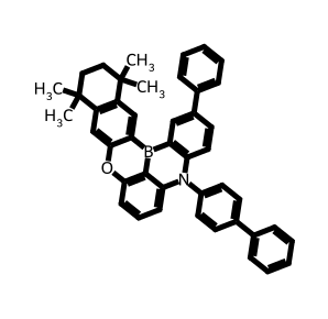 CC1(C)CCC(C)(C)c2cc3c(cc21)Oc1cccc2c1B3c1cc(-c3ccccc3)ccc1N2c1ccc(-c2ccccc2)cc1